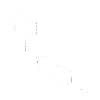 NC1CC2CN(Cc3ccccc3)CC2C1